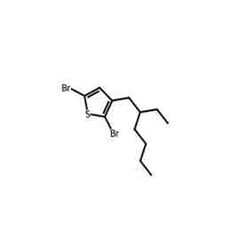 CCCCC(CC)Cc1cc(Br)sc1Br